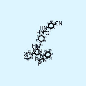 N#Cc1ccc(NC(=O)N[C@H]2CC[C@H](CNc3nc(N4CCOCC4)cc(-n4c(C(F)F)nc5ccccc54)n3)CC2)cc1